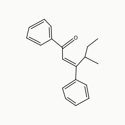 CCC(C)/C(=C\C(=O)c1ccccc1)c1ccccc1